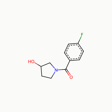 O=C(c1ccc(F)cc1)N1CCC(O)C1